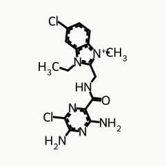 CCn1c(CNC(=O)c2nc(Cl)c(N)nc2N)[n+](C)c2ccc(Cl)cc21